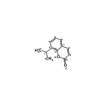 CC(C)c1cccc2ccc(=O)oc12